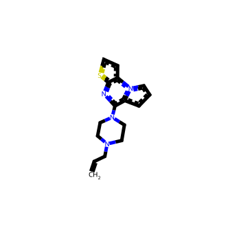 C=CCN1CCN(c2nc3sccc3n3cccc23)CC1